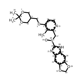 Cc1c(OCC2COC(C)(C)OC2)ccnc1C[S+]([O-])c1nc2cc3c(cc2[nH]1)OCO3